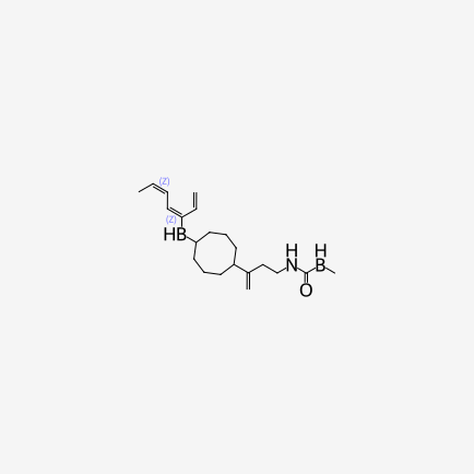 C=C/C(BC1CCCC(C(=C)CCNC(=O)BC)CCC1)=C\C=C/C